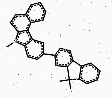 Cn1c2ccc(-c3ccc4c(c3)C(C)(C)c3ccccc3-4)cc2c2c3ccccc3ccc21